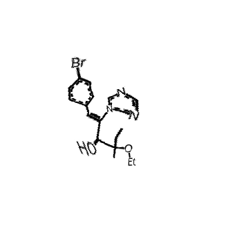 CCOC(C)(C)C(O)/C(=C/c1ccc(Br)cc1)n1cncn1